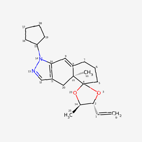 C=C[C@H]1OC2(CCCC3=Cc4c(cnn4C4CCCC4)C[C@@]32C)O[C@@H]1C